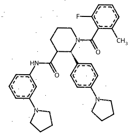 Cc1cccc(F)c1C(=O)N1CCCC(C(=O)Nc2cccc(N3CCCC3)c2)[C@@H]1c1ccc(N2CCCC2)cc1